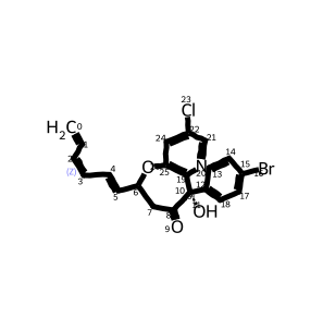 C=C/C=C\C=CC1CC(=O)[C@](O)(c2ccc(Br)cc2)c2ncc(Cl)cc2O1